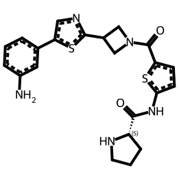 Nc1cccc(-c2cnc(C3CN(C(=O)c4ccc(NC(=O)[C@@H]5CCCN5)s4)C3)s2)c1